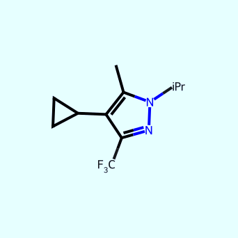 Cc1c(C2CC2)c(C(F)(F)F)nn1C(C)C